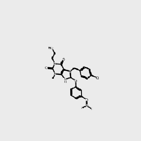 Cn1c2c(c(=O)n(CCO)c1=O)N(Cc1ccc(Cl)cc1)C(Oc1cccc(ON(F)F)c1)N2